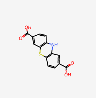 O=C(O)c1ccc2c(c1)Nc1ccc(C(=O)O)cc1S2